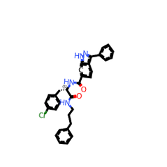 O=C(N[C@@H](Cc1ccc(Cl)cc1)C(=O)NCCCc1ccccc1)c1ccc2c(-c3ccccc3)n[nH]c2c1